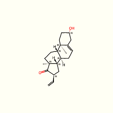 C=C[C@@H]1C[C@H]2[C@@H]3CC=C4C[C@@H](O)CC[C@]4(C)[C@H]3CC[C@]2(C)C1=O